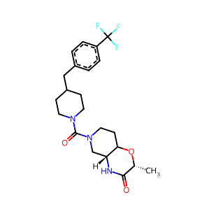 C[C@H]1OC2CCN(C(=O)N3CCC(Cc4ccc(C(F)(F)F)cc4)CC3)C[C@H]2NC1=O